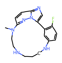 CN1CCNCCCNc2ccc(F)c(c2)-c2cnc3ccc1nn23